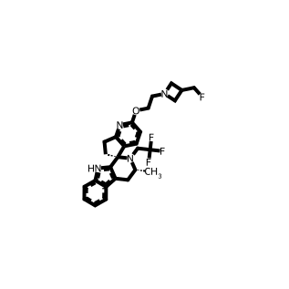 C[C@@H]1Cc2c([nH]c3ccccc23)[C@]2(CCc3nc(OCCN4CC(CF)C4)ccc32)N1CC(F)(F)F